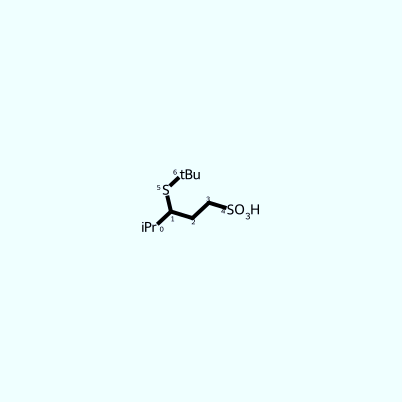 CC(C)C(CCS(=O)(=O)O)SC(C)(C)C